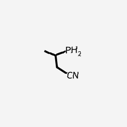 CC(P)CC#N